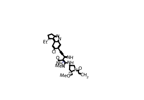 C=CC(=O)N1C[C@@H](N/C(NC)=C(\C(=N)C#Cc2cc3nnc4c(c3cc2Cl)[C@H](CC)CC4)C(N)=O)C[C@@H]1COC